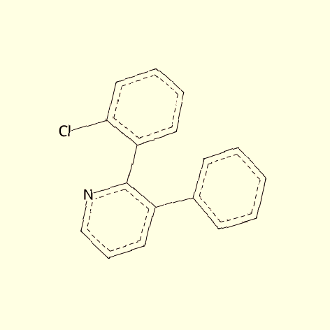 Clc1ccccc1-c1ncccc1-c1ccccc1